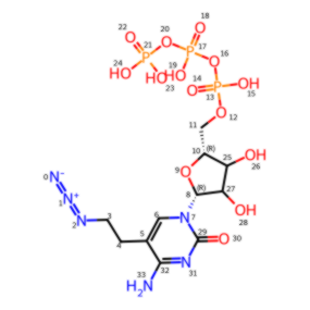 [N-]=[N+]=NCCc1cn([C@@H]2O[C@H](COP(=O)(O)OP(=O)(O)OP(=O)(O)O)C(O)C2O)c(=O)nc1N